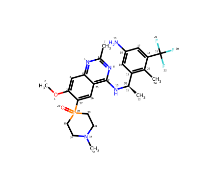 COc1cc2nc(C)nc(N[C@H](C)c3cc(N)cc(C(F)(F)F)c3C)c2cc1P1(=O)CCN(C)CC1